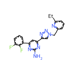 CCc1cccc(Cn2cc(-c3cc(-c4cccc(F)c4F)nc(N)n3)nn2)n1